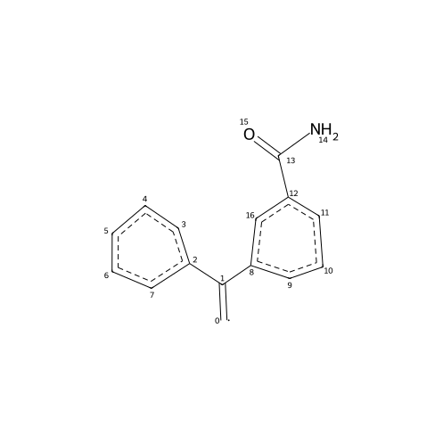 [CH]=C(c1ccccc1)c1cccc(C(N)=O)c1